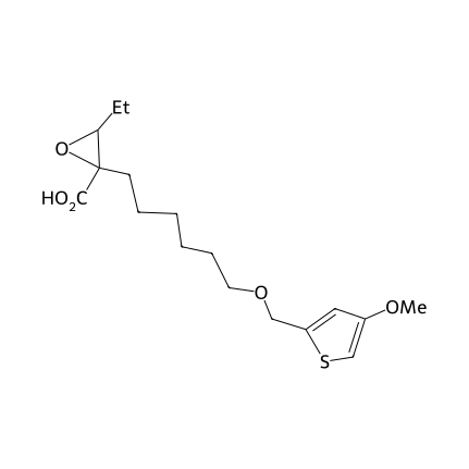 CCC1OC1(CCCCCCOCc1cc(OC)cs1)C(=O)O